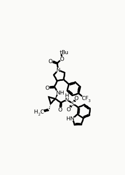 C=C[C@@H]1C[C@]1(NC(=O)C1CN(C(=O)OC(C)(C)C)CC1c1ccc(C(F)(F)F)cc1)C(=O)NS(=O)(=O)c1cccc2cc[nH]c12